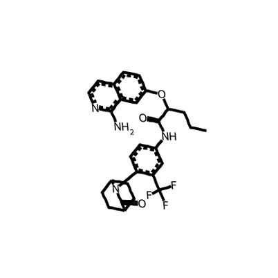 CCCC(Oc1ccc2ccnc(N)c2c1)C(=O)Nc1ccc(N2C(=O)C3CCC2CC3)c(C(F)(F)F)c1